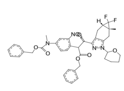 CN(C(=O)OCc1ccccc1)c1ccc(C(C(=O)OCc2ccccc2)C(=O)c2nn(C3CCCCO3)c3c2C[C@@H]2C(F)(F)[C@]2(C)C3)c([N+](=O)[O-])c1